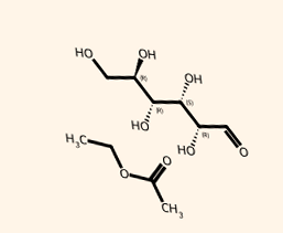 CCOC(C)=O.O=C[C@H](O)[C@@H](O)[C@H](O)[C@H](O)CO